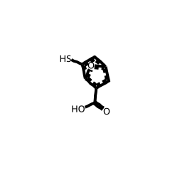 O=C(O)c1cc2cc(S)c1o2